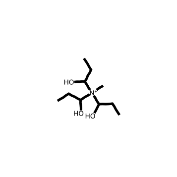 CCC(O)[N+](C)(C(O)CC)C(O)CC